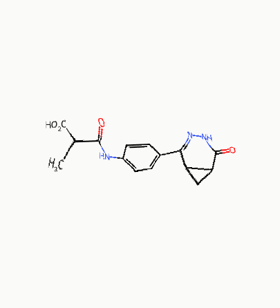 CC(C(=O)O)C(=O)Nc1ccc(C2=NNC(=O)C3CC23)cc1